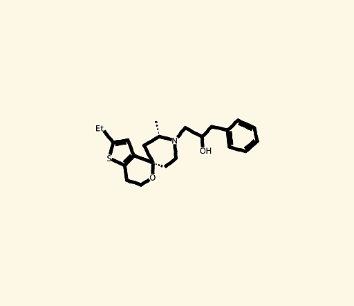 CCc1cc2c(s1)CCO[C@@]21CCN(CC(O)Cc2ccccc2)[C@@H](C)C1